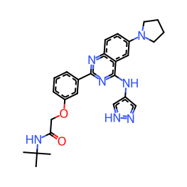 CC(C)(C)NC(=O)COc1cccc(-c2nc(Nc3cn[nH]c3)c3cc(N4CCCC4)ccc3n2)c1